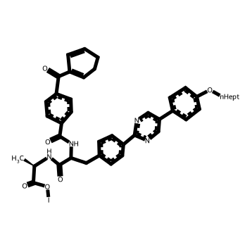 CCCCCCCOc1ccc(-c2cnc(-c3ccc(CC(NC(=O)c4ccc(C(=O)C5=CCCC=C5)cc4)C(=O)N[C@H](C)C(=O)OI)cc3)nc2)cc1